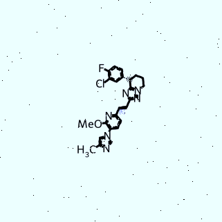 COc1nc(/C=C/c2nc3n(n2)CCC[C@H]3c2ccc(F)c(Cl)c2)ccc1-n1cnc(C)c1